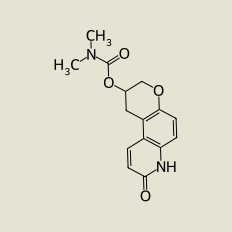 CN(C)C(=O)OC1COc2ccc3[nH]c(=O)ccc3c2C1